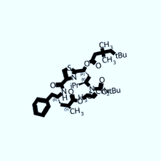 C=CCOC(=O)[C@@H](C)C[C@H](Cc1ccccc1)NC(=O)c1csc([C@@H](C[C@H](C(C)C)N(C)C(=O)OC(C)(C)C)OC(=O)CC(C)(C)CC(C)(C)C)n1